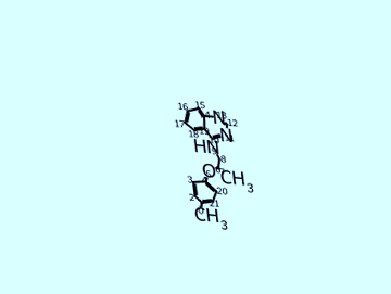 Cc1ccc(OC(C)CNc2ncnc3ccccc23)cc1